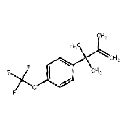 C=C(C)C(C)(C)c1ccc(OC(F)(F)F)cc1